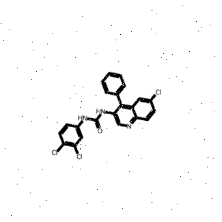 O=C(Nc1ccc(Cl)c(Cl)c1)Nc1cnc2ccc(Cl)cc2c1-c1ccccc1